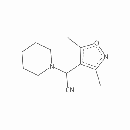 Cc1noc(C)c1C(C#N)N1CCCCC1